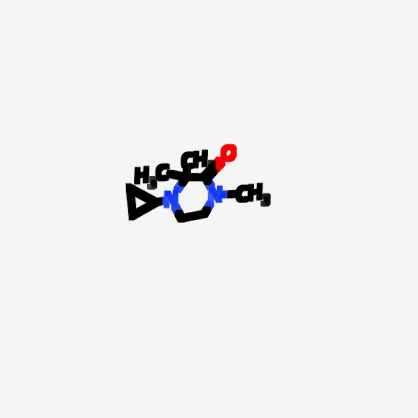 CN1CCN(C2CC2)C(C)(C)C1=O